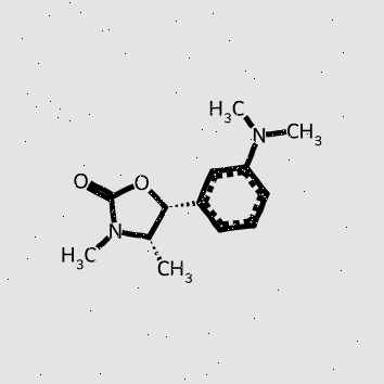 C[C@H]1[C@@H](c2cccc(N(C)C)c2)OC(=O)N1C